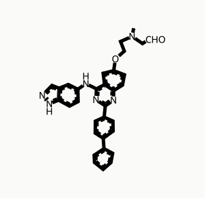 CN(CC=O)CCOc1ccc2nc(-c3ccc(-c4ccccc4)cc3)nc(Nc3ccc4[nH]ncc4c3)c2c1